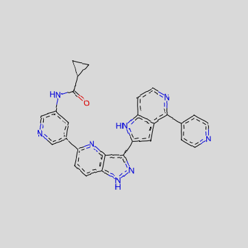 O=C(Nc1cncc(-c2ccc3[nH]nc(-c4cc5c(-c6ccncc6)nccc5[nH]4)c3n2)c1)C1CC1